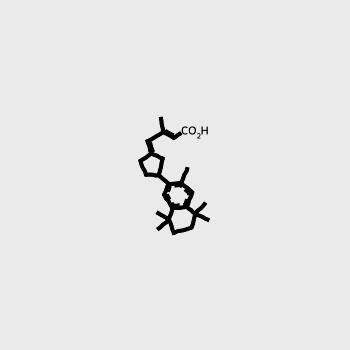 CC(=CC(=O)O)C=C1CCC(c2cc3c(cc2C)C(C)(C)CCC3(C)C)C1